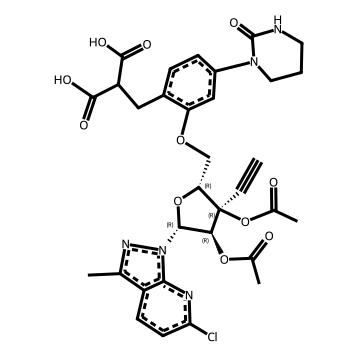 C#C[C@@]1(OC(C)=O)[C@@H](COc2cc(N3CCCNC3=O)ccc2CC(C(=O)O)C(=O)O)O[C@@H](n2nc(C)c3ccc(Cl)nc32)[C@@H]1OC(C)=O